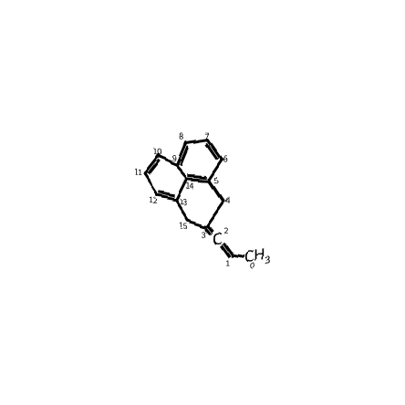 CC=C=C1Cc2cccc3cccc(c23)C1